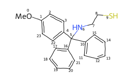 COc1ccc(C(NCCS)(c2ccccc2)c2ccccc2)cc1